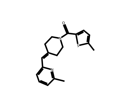 Cc1cccc(C=C2CCN(C(=O)c3ccc(C)s3)CC2)n1